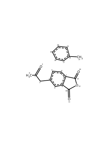 CC(=O)Cc1ccc2c(c1)C(=O)OC2=O.Cc1ccccc1